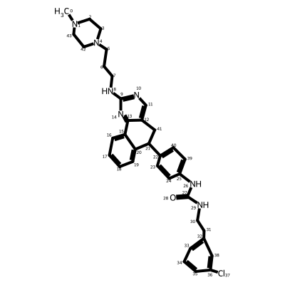 CN1CCN(CCCNc2ncc3c(n2)-c2ccccc2C(c2ccc(NC(=O)NCCc4cccc(Cl)c4)cc2)C3)CC1